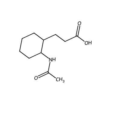 CC(=O)NC1CCCCC1CCC(=O)O